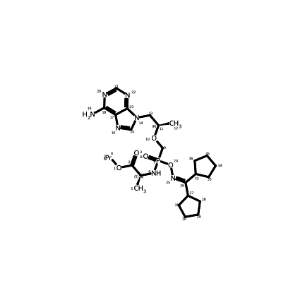 CC(C)OC(=O)[C@H](C)NP(=O)(CO[C@H](C)Cn1cnc2c(N)ncnc21)ON=C(C1CCCC1)C1CCCC1